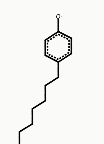 CC(=O)CCCCCCc1ccc([O])cc1